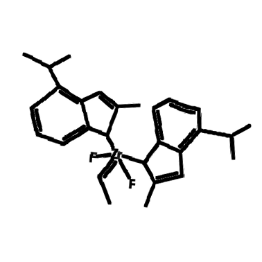 C[CH]=[Zr]([F])([F])([CH]1C(C)=Cc2c(C(C)C)cccc21)[CH]1C(C)=Cc2c(C(C)C)cccc21